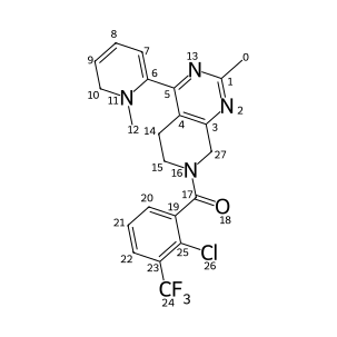 Cc1nc2c(c(C3=CC=CCN3C)n1)CCN(C(=O)c1cccc(C(F)(F)F)c1Cl)C2